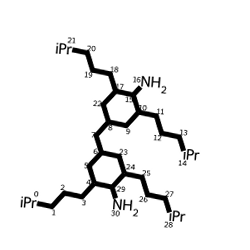 CC(C)CCCC1CC(CC2CC(CCCC(C)C)C(N)C(CCCC(C)C)C2)CC(CCCC(C)C)C1N